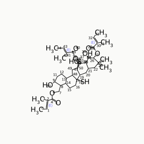 C/C=C(\C)C(=O)OCC1C(O)CCC2C1CCC(S)(C1CC3CC(C)(C)C(OC(=O)/C(C)=C/C)[C@H](O)[C@]3(COC(=O)/C(C)=C/C)[C@H](O)C1)C2CC=S